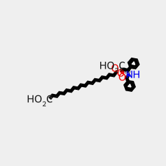 O=C(O)CCCCCCCCCCCCCCCCCCC(=O)O[C@@H](C(=O)O)[C@@H](NC(=O)c1ccccc1)c1ccccc1